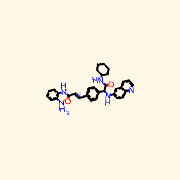 Nc1ccccc1NC(=O)/C=C/c1ccc(C(Nc2ccc3ncccc3c2)C(=O)NC2CCCCC2)cc1